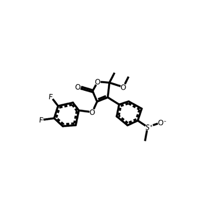 COC1(C)OC(=O)C(Oc2ccc(F)c(F)c2)=C1c1ccc([S+](C)[O-])cc1